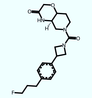 O=C1COC2CCN(C(=O)N3CC(c4ccc(CCCF)cc4)C3)C[C@H]2N1